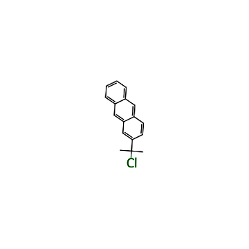 CC(C)(Cl)c1ccc2cc3ccccc3cc2c1